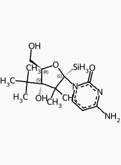 CC(C)(C)[C@@]1(O)[C@@H](CO)O[C@@]([SiH3])(n2ccc(N)nc2=O)C1(C)C